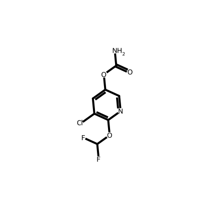 NC(=O)Oc1cnc(OC(F)F)c(Cl)c1